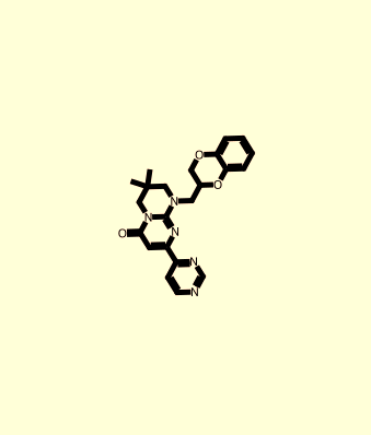 CC1(C)CN(CC2COc3ccccc3O2)c2nc(-c3ccncn3)cc(=O)n2C1